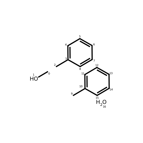 CO.Cc1ccccc1.Cc1ccccc1.O